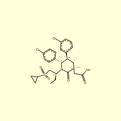 CC[C@@H](CS(=O)(=O)C1CC1)N1C(=O)[C@](C)(CC(=O)O)C[C@H](c2cccc(Cl)c2)[C@H]1c1ccc(Cl)cc1